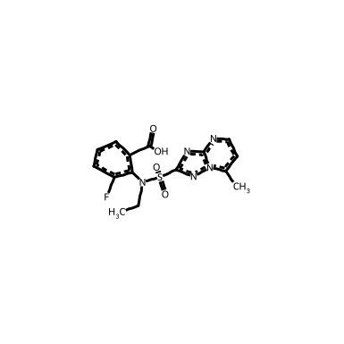 CCN(c1c(F)cccc1C(=O)O)S(=O)(=O)c1nc2nccc(C)n2n1